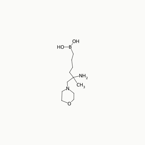 CC(N)(CCCCB(O)O)CN1CCOCC1